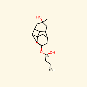 CC(C)(C)CC[C@H](O)OC12CC3CC4(C1)C(C2)C1CC(C)(O)CC3C14